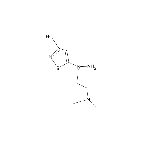 CN(C)CCN(N)c1cc(O)ns1